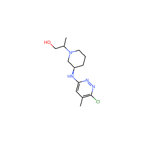 Cc1cc(N[C@@H]2CCCN(C(C)CO)C2)nnc1Cl